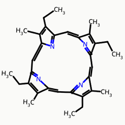 CCC1=C(C)C2=CC3=NC(=CC4=NC(=CC5=NC(=CC1=N2)C(C)=C5CC)C(C)=C4CC)C(C)=C3CC